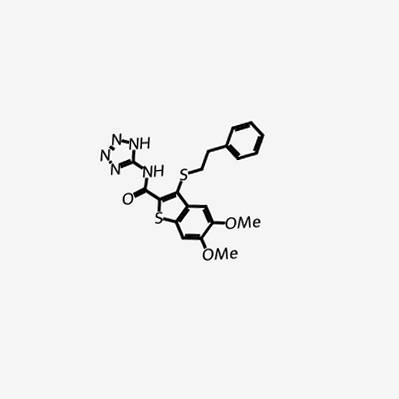 COc1cc2sc(C(=O)Nc3nnn[nH]3)c(SCCc3ccccc3)c2cc1OC